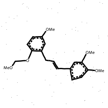 COCOc1ccc(OC)cc1CC=Cc1ccc(OC)c(OC)c1